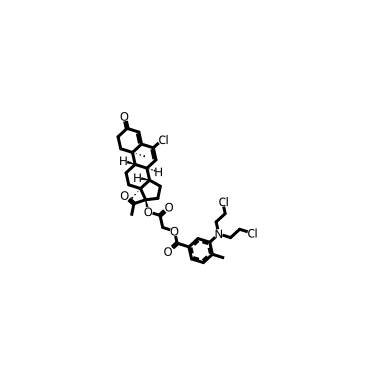 CC(=O)[C@@]1(OC(=O)COC(=O)c2ccc(C)c(N(CCCl)CCCl)c2)CC[C@H]2[C@@H]3C=C(Cl)C4=CC(=O)CC[C@]4(C)[C@H]3CC[C@@]21C